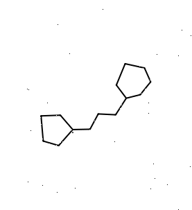 C1CCC(CCC[C]2CCCC2)CC1